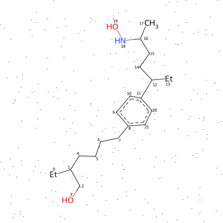 CCC(CO)CCCCc1ccc(C(CC)CCC(C)NO)cc1